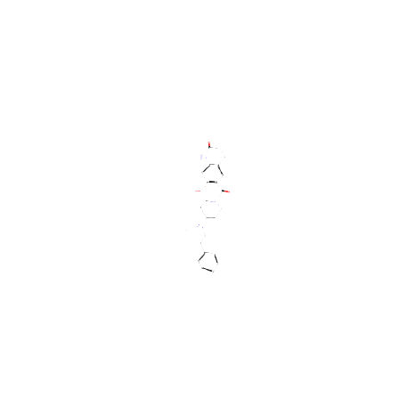 COc1cc2c(cc1C(=O)N1CCC(N(C)CCc3ccccc3)CC1)CCC(=O)N2.Cl